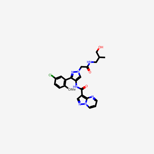 COc1ccc(Cl)cc1-c1nn(CC(=O)NCC(C)CO)cc1NC(=O)c1cnn2cccnc12